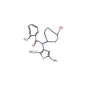 Cc1ccccc1C(=O)N(c1cc(C(C)(C)C)sc1C(=O)O)C1CCC(O)CC1